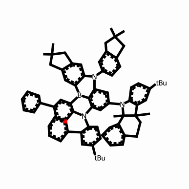 CC1(C)Cc2ccc(N3c4cc5c(cc4B4c6cc(-c7ccccc7)ccc6N(c6ccc(C(C)(C)C)cc6-c6ccccc6)c6cc(N7c8ccc(C(C)(C)C)cc8C8(C)CCc9ccccc9C78C)cc3c64)CC(C)(C)C5)cc2C1